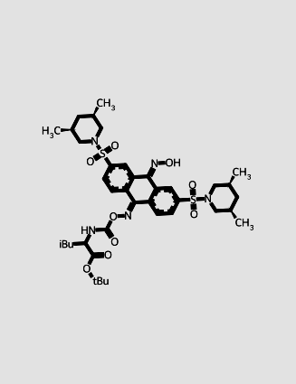 CCC(C)C(NC(=O)ON=C1c2ccc(S(=O)(=O)N3C[C@H](C)C[C@H](C)C3)cc2C(=NO)c2cc(S(=O)(=O)N3C[C@H](C)C[C@H](C)C3)ccc21)C(=O)OC(C)(C)C